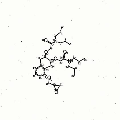 CCCN(CCC)C(=O)COC1Cc2cccc(OCC3CO3)c2CC1OCC(=O)N(CCC)CCC